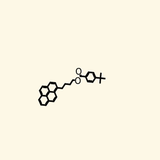 CC(C)(C)c1ccc(C(=O)OCCCCc2ccc3ccc4cccc5ccc2c3c45)cc1